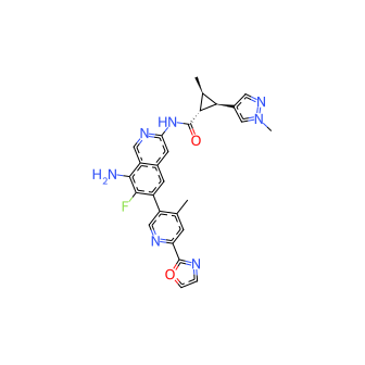 Cc1cc(-c2ncco2)ncc1-c1cc2cc(NC(=O)[C@@H]3[C@@H](C)[C@H]3c3cnn(C)c3)ncc2c(N)c1F